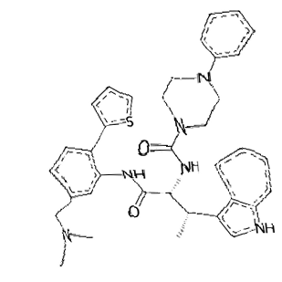 C[C@@H](c1c[nH]c2ccccc12)[C@@H](NC(=O)N1CCN(c2ccccc2)CC1)C(=O)Nc1cc(CN(C)C)ccc1-c1cccs1